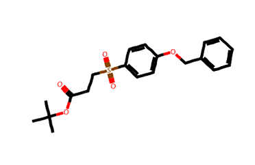 CC(C)(C)OC(=O)CCS(=O)(=O)c1ccc(OCc2ccccc2)cc1